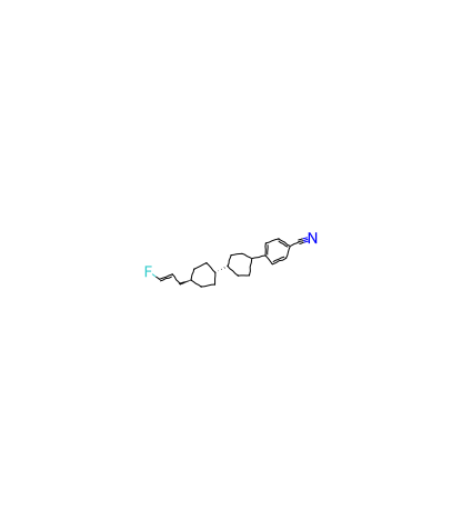 N#Cc1ccc(C2CCC([C@H]3CC[C@H](C/C=C/F)CC3)CC2)cc1